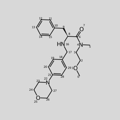 COCCN(C)C(=O)[C@H](Cc1ccccc1)NCc1ccc(N2CCOCC2)cc1